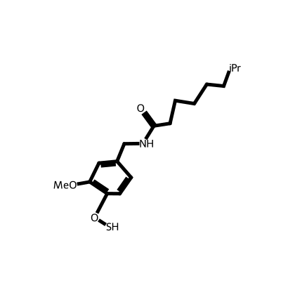 COc1cc(CNC(=O)CCCCCC(C)C)ccc1OS